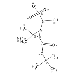 CC(C)(C)OC(=O)C1C(C(O)S(=O)(=O)[O-])C1(C)C.[Na+]